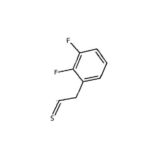 Fc1cccc(C[C]=S)c1F